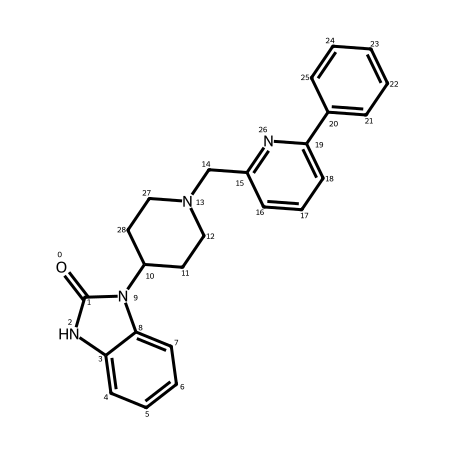 O=c1[nH]c2ccccc2n1C1CCN(Cc2cccc(-c3ccccc3)n2)CC1